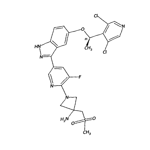 C[C@@H](Oc1ccc2[nH]nc(-c3cnc(N4CC(N)(CS(C)(=O)=O)C4)c(F)c3)c2c1)c1c(Cl)cncc1Cl